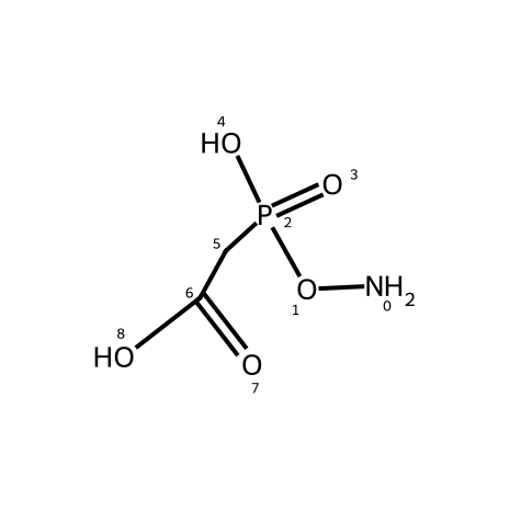 NOP(=O)(O)CC(=O)O